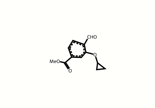 COC(=O)c1ccc(C=O)c(OC2CC2)c1